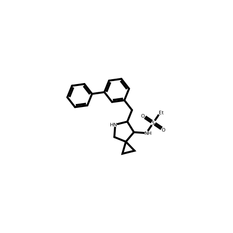 CCS(=O)(=O)NC1C(Cc2cccc(-c3ccccc3)c2)NCC12CC2